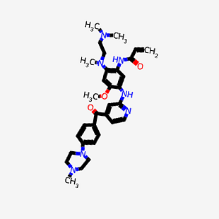 C=CC(=O)Nc1cc(Nc2cc(C(=O)c3ccc(N4CCN(C)CC4)cc3)ccn2)c(OC)cc1N(C)CCN(C)C